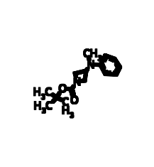 CN(c1ccccc1)C1CN(C(=O)OC(C)(C)C)C1